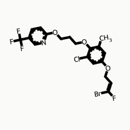 Cc1cc(OCC=C(F)Br)cc(Cl)c1OCCCOc1ccc(C(F)(F)F)cn1